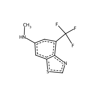 CNc1cc(C(F)(F)F)c2ncsc2c1